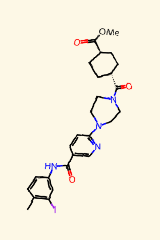 COC(=O)[C@H]1CC[C@H](C(=O)N2CCN(c3ccc(C(=O)Nc4ccc(C)c(I)c4)cn3)CC2)CC1